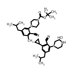 CC(C)Cc1cc(C2CC2)c(C#N)c(N2CCNCC2)c1.Cc1cc(CC(C)C)cc(N2CCN(C(=O)OC(C)(C)C)CC2)c1C#N.Cl